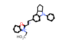 O=C(O)C[n+]1c(/C=C/c2ccc3c(c2)C2CCCC2N3c2ccccc2)oc2ccccc21